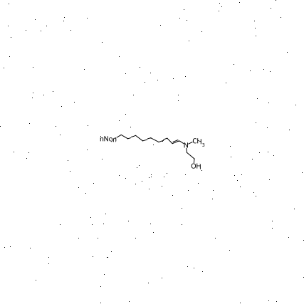 CCCCCCCCCCCCCCCCC=CN(C)CCO